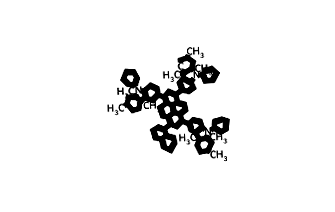 CC1CCC2(C)c3cc(-c4cc(-c5ccc6c(c5)C5(C)CCC(C)CC5(C)N6c5ccccc5)c5ccc6c(-c7cccc8ccccc78)cc(-c7ccc8c(c7)C7(C)CCC(C)CC7(C)N8c7ccccc7)c7ccc4c5c76)ccc3N(c3ccccc3)C2(C)C1